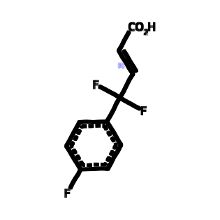 O=C(O)/C=C/C(F)(F)c1ccc(F)cc1